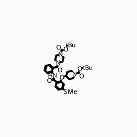 CSc1ccc(C(=O)Nc2ccccc2C(=O)N2CCN(C(=O)OC(C)(C)C)CC2)c(OC2CCN(C(=O)OC(C)(C)C)CC2)c1